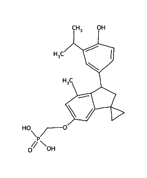 Cc1cc(OCP(=O)(O)O)cc2c1C(c1ccc(O)c(C(C)C)c1)CC21CC1